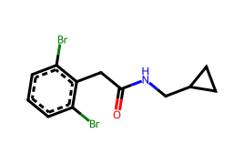 O=C(Cc1c(Br)cccc1Br)NCC1CC1